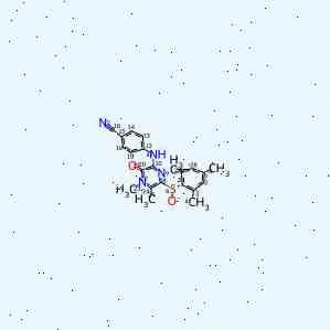 Cc1cc(C)c([S+]([O-])c2nc(Nc3ccc(C#N)cc3)c(=O)n(C)c2C)c(C)c1